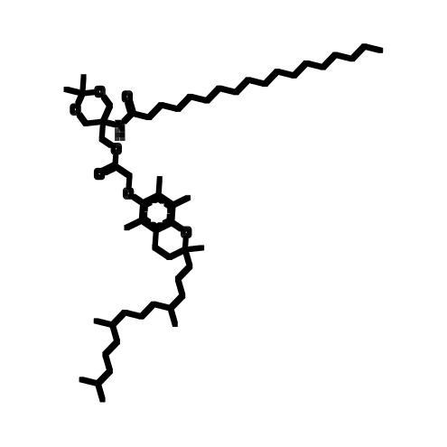 CCCCCCCCCCCCCCCCCC(=O)NC1(COC(=O)COc2c(C)c(C)c3c(c2C)CCC(C)(CCCC(C)CCCC(C)CCCC(C)C)O3)COC(C)(C)OC1